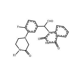 CCN1CCN(c2cc(C(C=O)n3c(=O)[nH]c(=O)c4ccccc43)ccc2F)CC1=O